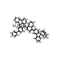 CC1(C)c2ccccc2-c2cccc(N(c3ccc(-c4ccccc4)cc3)c3ccc(-c4ccc5c(c4)-c4ccccc4C54C5CC6CC(C5)CC4C6)c4ccccc34)c21